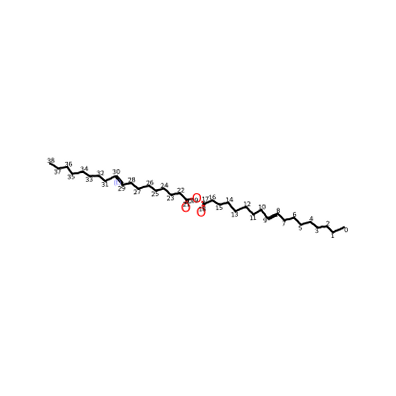 CCCCCCCCC=CCCCCCCCC(=O)OC(=O)CCCCCCC/C=C/CCCCCCCC